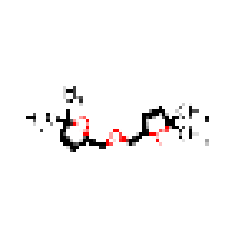 CC1(C)C=CC(COCC2C=CC(C)(C)O2)O1